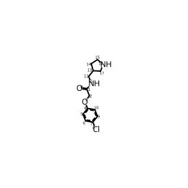 O=C(COc1ccc(Cl)cc1)NCC1CCNC1